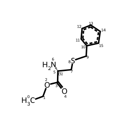 CCOC(=O)[C@H](N)CSCc1ccccc1